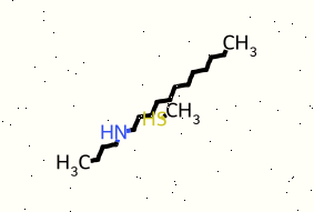 CCCCCCCCCCCCNCCCC.CS